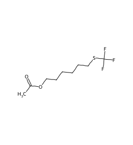 CC(=O)OCCCCCCSC(F)(F)F